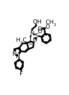 COC(=O)c1ccccc1S(=O)(=O)N(CCO)C[C@H]1CCC2=Cc3c(cnn3-c3ccc(F)cc3)C[C@@]21C